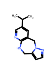 CC(C)c1cnc2c(c1)Cn1nccc1CN2